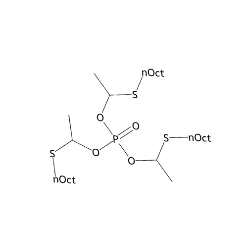 CCCCCCCCSC(C)OP(=O)(OC(C)SCCCCCCCC)OC(C)SCCCCCCCC